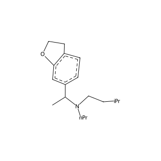 CCCN(CCC(C)C)C(C)c1ccc2c(c1)OCC2